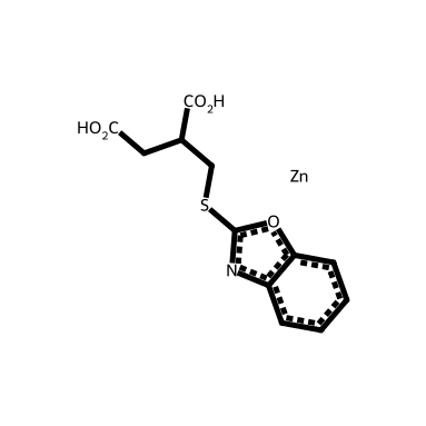 O=C(O)CC(CSc1nc2ccccc2o1)C(=O)O.[Zn]